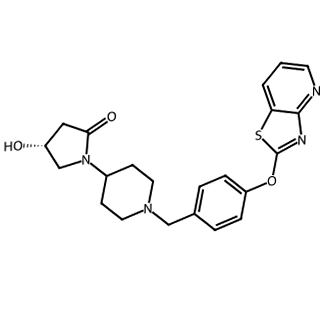 O=C1C[C@@H](O)CN1C1CCN(Cc2ccc(Oc3nc4ncccc4s3)cc2)CC1